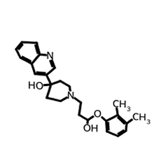 Cc1cccc(OC(O)CCN2CCC(O)(c3cnc4ccccc4c3)CC2)c1C